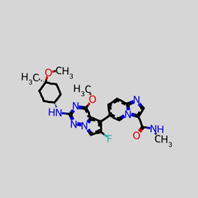 CNC(=O)c1cnc2ccc(-c3c(F)cn4nc(N[C@H]5CC[C@](C)(OC)CC5)nc(OC)c34)cn12